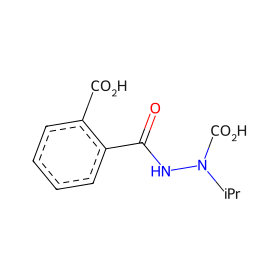 CC(C)N(NC(=O)c1ccccc1C(=O)O)C(=O)O